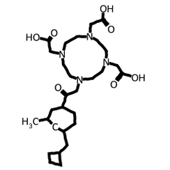 CC1CC(CC2CCC2)CCC(C(=O)CN2CCN(CC(=O)O)CCN(CC(=O)O)CCN(CC(=O)O)CC2)C1